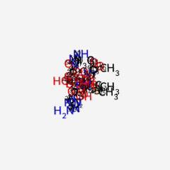 COc1cc(COC(=O)N[C@@H](CSSC(C)(C)C)C(=O)O[C@H]2[C@@H](O)[C@H](n3cnc4c(N)ncnc43)O[C@@H]2COP(=O)(O)O[C@H]2C[C@H](n3ccc(N)nc3=O)O[C@@H]2COP(=O)(O)O)c([N+](=O)[O-])cc1OC